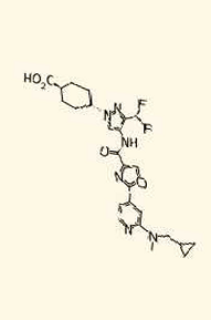 CN(CC1CC1)c1cc(-c2nc(C(=O)Nc3cn([C@H]4CC[C@H](C(=O)O)CC4)nc3C(F)F)co2)ccn1